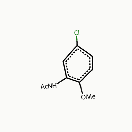 [CH2]C(=O)Nc1cc(Cl)ccc1OC